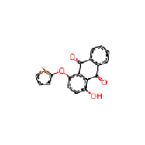 O=C1c2ccccc2C(=O)c2c(Oc3cccs3)ccc(O)c21